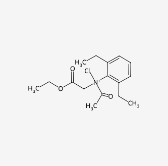 CCOC(=O)C[N+](Cl)(C(C)=O)c1c(CC)cccc1CC